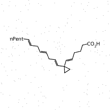 CCCCCC=CCC=CCC=CC1(C=CCCCC(=O)O)CC1